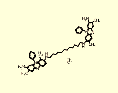 Cc1cc2nc3cc(C)c(NCCCCCCCCCCCCNc4ccc5nc6cc(C)c(N)cc6[n+](-c6ccccc6)c5c4C)cc3[n+](-c3ccccc3)c2cc1N.[Cl-].[Cl-]